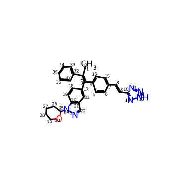 CCC(=C(c1ccc(C=Cc2nn[nH]n2)cc1)c1ccc2c(cnn2C2CCCCO2)c1)c1ccccc1